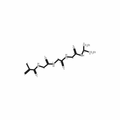 C=C(C)C(=O)NCC(=O)NCC(=O)NCC(=O)NC(C(=O)OCC)C(=O)OCC